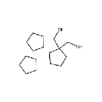 C1CCCC1.C1CCCC1.OCC1(CO)CCCC1